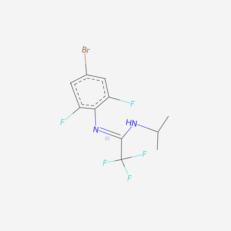 CC(C)N/C(=N\c1c(F)cc(Br)cc1F)C(F)(F)F